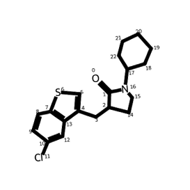 O=C1C(Cc2csc3ccc(Cl)cc23)CCN1C1CCCCC1